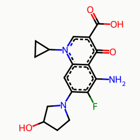 Nc1c(F)c(N2CCC(O)C2)cc2c1c(=O)c(C(=O)O)cn2C1CC1